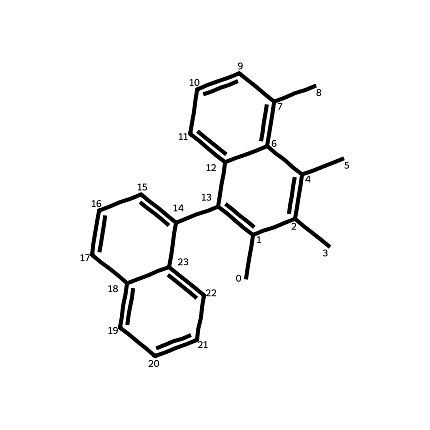 Cc1c(C)c(C)c2c(C)cccc2c1-c1cccc2ccccc12